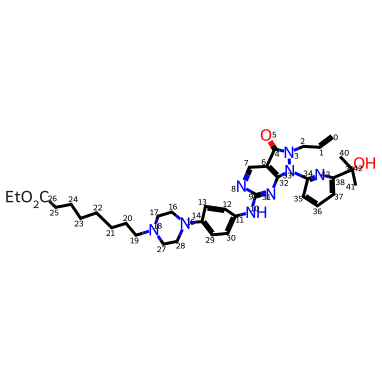 C=CCn1c(=O)c2cnc(Nc3ccc(N4CCN(CCCCCCCC(=O)OCC)CC4)cc3)nc2n1-c1cccc(C(C)(C)O)n1